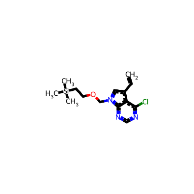 C=Cc1cn(COCC[Si](C)(C)C)c2ncnc(Cl)c12